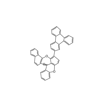 O=P12c3ccccc3Oc3ccc(-c4ccc5c6ccccc6c6ccccc6c5c4)c(c31)Oc1c2ccc2ccccc12